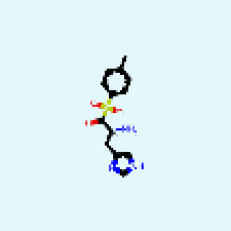 Cc1ccc(S(=O)(=O)C(=O)[C@@H](N)Cc2[c][nH]cn2)cc1